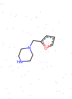 [CH]1CNCCN1Cc1ccco1